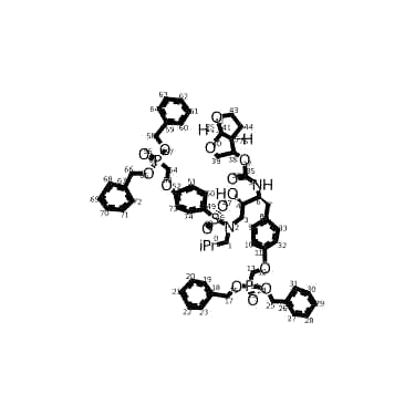 CC(C)CN(C[C@@H](O)[C@H](Cc1ccc(OCP(=O)(OCc2ccccc2)OCc2ccccc2)cc1)NC(=O)OC1CO[C@H]2OCC[C@@H]12)S(=O)(=O)c1ccc(OCP(=O)(OCc2ccccc2)OCc2ccccc2)cc1